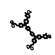 COC(=O)CCc1ccc(N(c2ccc(-c3ccc(N(c4ccc(CCC(=O)OC)cc4)c4ccc(-c5ccc(OC)c(C)c5)cc4)cc3)cc2)c2ccc(-c3ccc(OC)c(C)c3)cc2)cc1